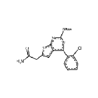 CNc1nc(-c2ccccc2Cl)c2cc(CC(N)=O)sc2n1